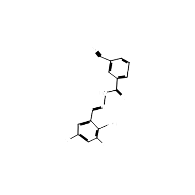 N#Cc1cccc(C(=O)N/N=C/c2cc(Cl)cc(Cl)c2O)c1